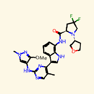 COc1nn(C)cc1Nc1ncc(C)c(-c2c[nH]c3c(NC(=O)[C@H]4CC(F)(F)CN4[C@@H]4CCOC4)cccc23)n1